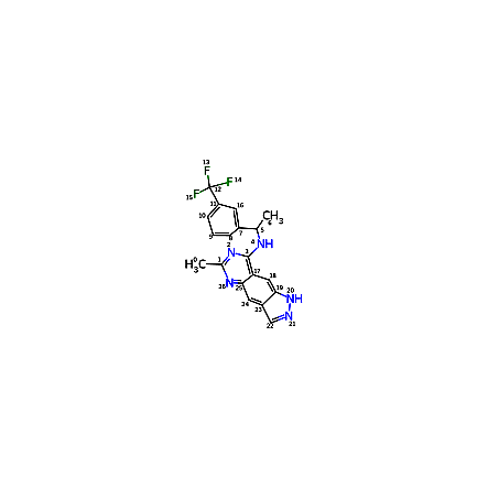 Cc1nc(NC(C)c2cccc(C(F)(F)F)c2)c2cc3[nH]ncc3cc2n1